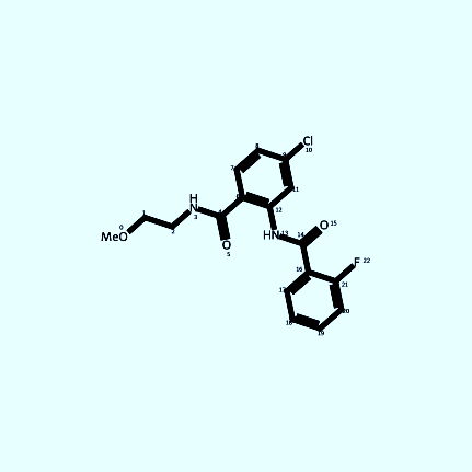 COCCNC(=O)c1ccc(Cl)cc1NC(=O)c1ccccc1F